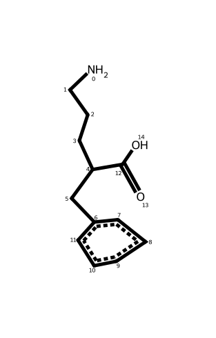 NCCCC(Cc1ccccc1)C(=O)O